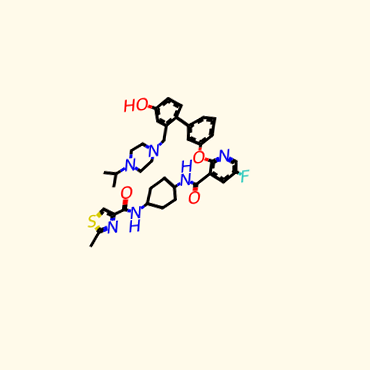 Cc1nc(C(=O)NC2CCC(NC(=O)c3cc(F)cnc3Oc3cccc(-c4ccc(O)cc4CN4CCN(C(C)C)CC4)c3)CC2)cs1